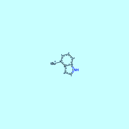 CC(C)(C)c1cccc2[nH]c[c]c12